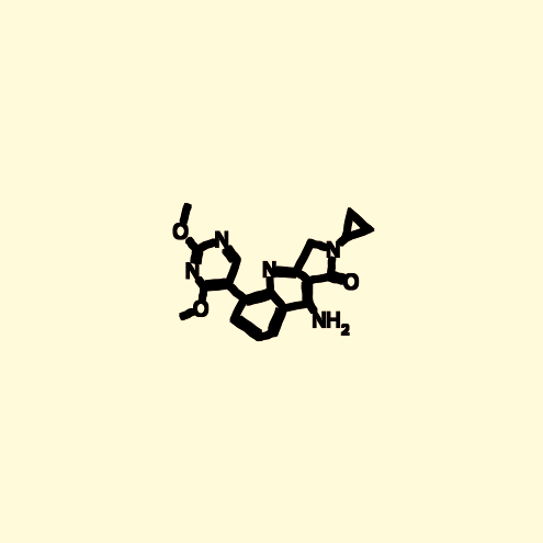 COc1ncc(-c2cccc3c(N)c4c(nc23)CN(C2CC2)C4=O)c(OC)n1